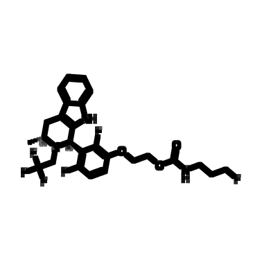 C[C@@H]1Cc2c([nH]c3ccccc23)[C@@H](c2c(F)ccc(OCCOC(=O)NCCCF)c2F)N1CC(F)(F)F